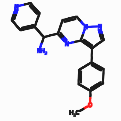 COc1ccc(-c2cnn3ccc(C(N)c4ccncc4)nc23)cc1